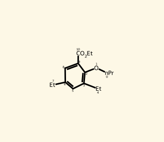 CCCOc1c(CC)cc(CC)cc1C(=O)OCC